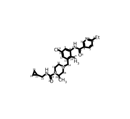 CCc1ccc(C(=O)Nc2cc(Cl)cc(CN3CCN(C(=O)NCC4CC4)C(C)C3)c2C)cn1